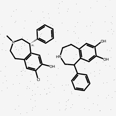 CN1CCc2cc(Cl)c(O)cc2[C@@H](c2ccccc2)C1.Oc1cc2c(cc1O)C(c1ccccc1)CNCC2